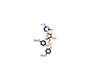 COc1ccc(OP(=S)(OC[C@@]2(C(F)F)O[C@@H](n3ccc(N)nc3=O)C(F)C2O)Oc2ccc(OC)cc2)cc1